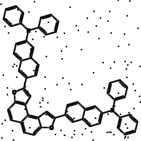 c1ccc(N(c2ccccc2)c2ccc3cc(-c4cc5c(ccc6ccc7oc(-c8ccc9cc(N(c%10ccccc%10)c%10ccccc%10)ccc9c8)cc7c65)o4)ccc3c2)cc1